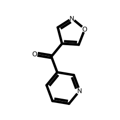 O=C(c1cccnc1)c1cnoc1